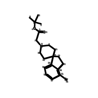 CC(C)(C)OC(=O)CN1CCC2(CCc3c(Br)cccc32)CC1